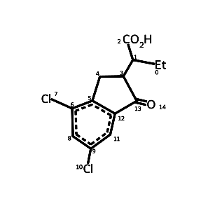 CCC(C(=O)O)C1Cc2c(Cl)cc(Cl)cc2C1=O